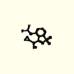 CC(C)N(C1=NS(=O)(=O)c2cccc(OC(F)F)c21)C1CC1